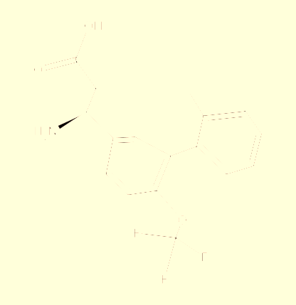 Cc1ccccc1-c1cc([C@@H](N)CC(=O)O)ccc1OC(F)(F)F